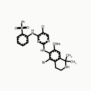 COc1cc2c(c(Br)c1Nc1ncc(Cl)c(Nc3ccccc3S(=O)(=O)C(C)C)n1)CCNC2(C)C